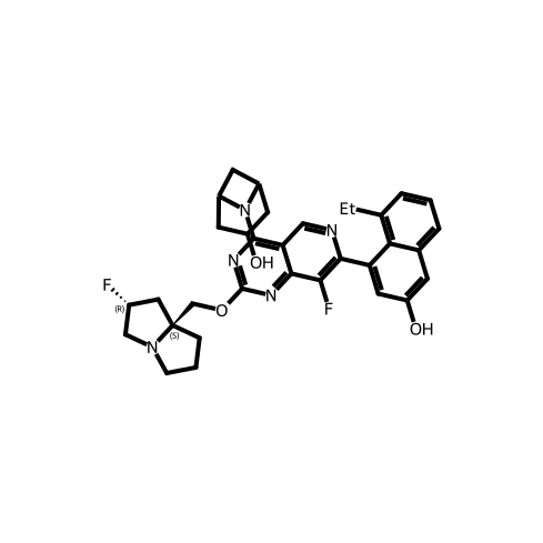 CCc1cccc2cc(O)cc(-c3ncc4c(N5C6CC(O)CC5C6)nc(OC[C@@]56CCCN5C[C@H](F)C6)nc4c3F)c12